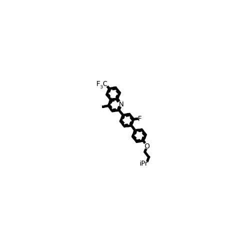 Cc1cc(-c2ccc(-c3ccc(OCCC(C)C)cc3)c(F)c2)nc2ccc(C(F)(F)F)cc12